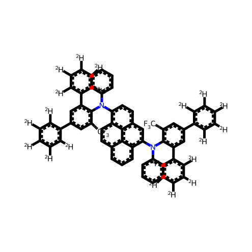 [2H]c1c([2H])c([2H])c(-c2cc(-c3c([2H])c([2H])c([2H])c([2H])c3[2H])c(N(c3ccccc3)c3cc4ccc(N(c5ccccc5)c5c(-c6c([2H])c([2H])c([2H])c([2H])c6[2H])cc(-c6c([2H])c([2H])c([2H])c([2H])c6[2H])cc5C(F)(F)F)c5ccc6cccc3c6c45)c(C(F)(F)F)c2)c([2H])c1[2H]